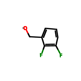 [O]Cc1cccc(F)c1F